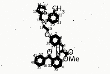 COC(=O)[C@H](Cc1ccc(OCCN(Cc2cccs2)c2cccc(C)c2)cc1)Nc1ccccc1C(=O)c1ccccc1